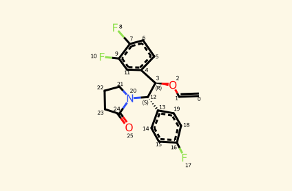 C=CO[C@H](c1ccc(F)c(F)c1)[C@H](c1ccc(F)cc1)N1CCCC1=O